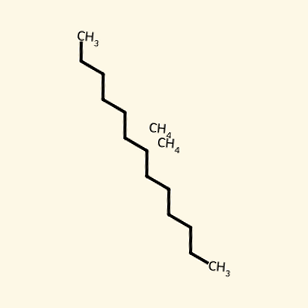 C.C.CCCCCCCCCCCCC